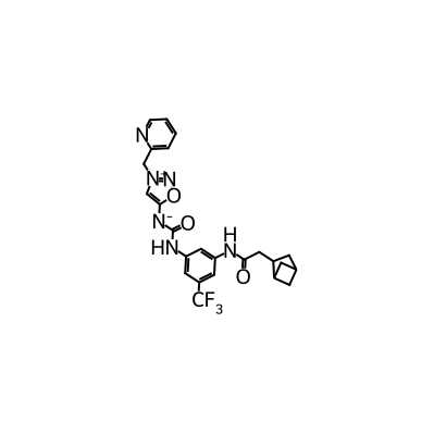 O=C(CC1CC2CC1C2)Nc1cc(NC(=O)[N-]c2c[n+](Cc3ccccn3)no2)cc(C(F)(F)F)c1